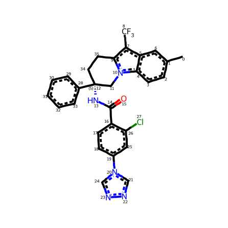 Cc1ccc2c(c1)c(C(F)(F)F)c1n2C[C@@](NC(=O)c2ccc(-n3cnnc3)cc2Cl)(c2ccccc2)CC1